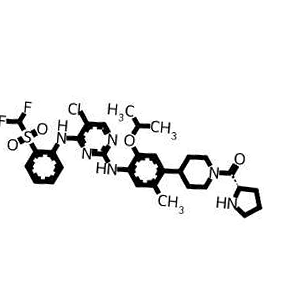 Cc1cc(Nc2ncc(Cl)c(Nc3ccccc3S(=O)(=O)C(F)F)n2)c(OC(C)C)cc1C1CCN(C(=O)[C@@H]2CCCN2)CC1